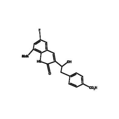 CNc1cc(F)cc2cc(C(O)Cc3ccc(C(=O)O)cc3)c(=O)[nH]c12